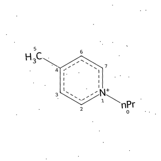 CCC[n+]1ccc(C)cc1